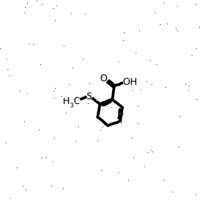 CSC1=C(C(=O)O)C=CCC1